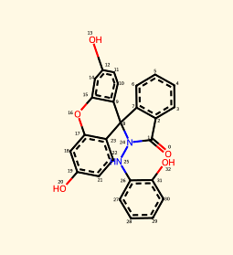 O=C1c2ccccc2C2(c3ccc(O)cc3Oc3cc(O)ccc32)N1Nc1ccccc1O